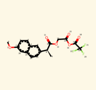 COc1ccc2cc([C@H](C)C(=O)OCC(=O)OC(=O)C(F)(F)F)ccc2c1